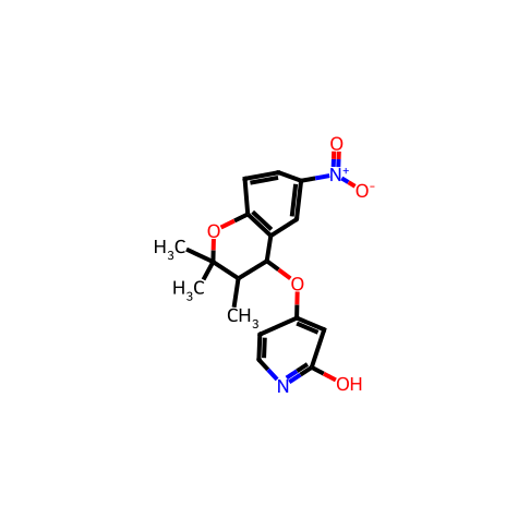 CC1C(Oc2ccnc(O)c2)c2cc([N+](=O)[O-])ccc2OC1(C)C